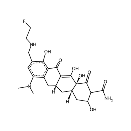 CN(C)c1cc(CNCCF)c(O)c2c1C[C@H]1C[C@H]3CC(O)C(C(N)=O)C(=O)[C@@]3(O)C(O)=C1C2=O